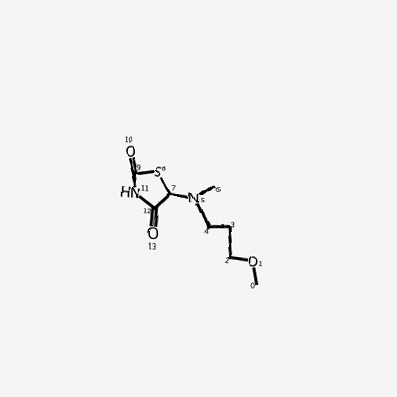 COCCCN(C)C1SC(=O)NC1=O